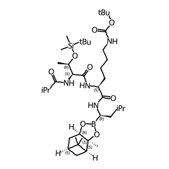 CC(C)C[C@H](NC(=O)[C@H](CCCCNC(=O)OC(C)(C)C)NC(=O)[C@@H](NC(=O)C(C)C)[C@@H](C)O[Si](C)(C)C(C)(C)C)B1O[C@@H]2C[C@@H]3C[C@@H](C3(C)C)[C@]2(C)O1